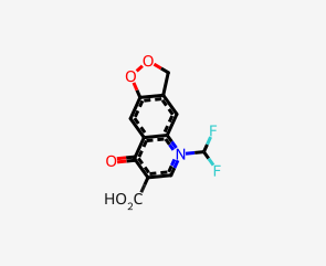 O=C(O)c1cn(C(F)F)c2cc3c(cc2c1=O)OOC3